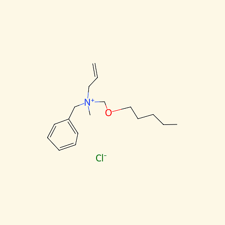 C=CC[N+](C)(COCCCCC)Cc1ccccc1.[Cl-]